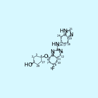 O[C@H]1CC[C@@H](Oc2cc(F)cc3cnc(Nc4ccc5nc[nH]c5c4)nc23)CC1